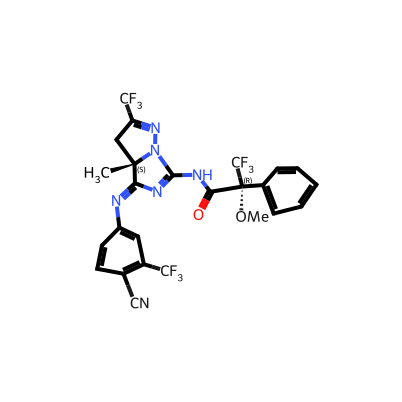 CO[C@@](C(=O)NC1=NC(=Nc2ccc(C#N)c(C(F)(F)F)c2)[C@]2(C)CC(C(F)(F)F)=NN12)(c1ccccc1)C(F)(F)F